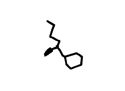 CCCCN(C#N)C1CCCCC1